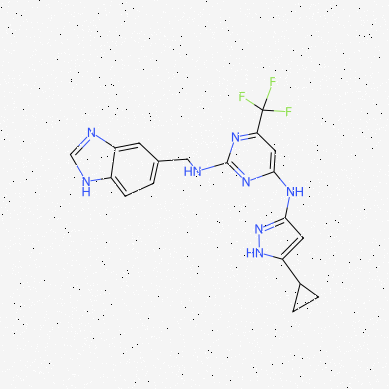 FC(F)(F)c1cc(Nc2cc(C3CC3)[nH]n2)nc(NCc2ccc3[nH]cnc3c2)n1